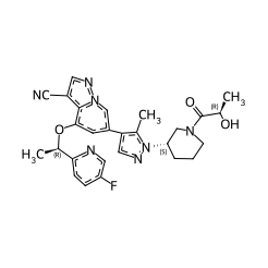 Cc1c(-c2cc(O[C@H](C)c3ccc(F)cn3)c3c(C#N)cnn3c2)cnn1[C@H]1CCCN(C(=O)[C@@H](C)O)C1